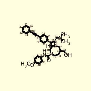 COc1ccc(NC(=O)N2CCC(CO)CN3[C@H](CN(C)C)[C@H](c4ccc(C#Cc5ccccc5)cc4)[C@@H]3C2)cc1